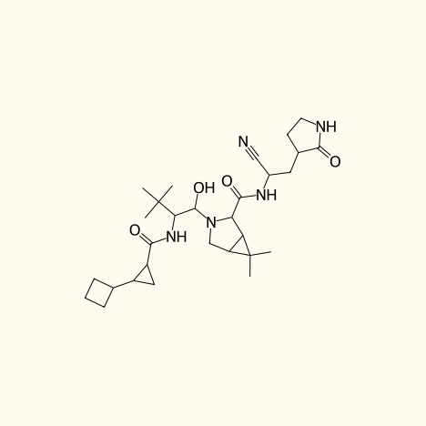 CC(C)(C)C(NC(=O)C1CC1C1CCC1)C(O)N1CC2C(C1C(=O)NC(C#N)CC1CCNC1=O)C2(C)C